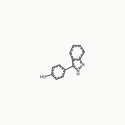 Oc1ccc(-c2[nH]nc3ccccc23)cc1